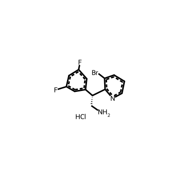 Cl.NC[C@H](c1cc(F)cc(F)c1)c1ncccc1Br